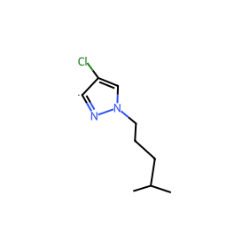 CC(C)CCCn1cc(Cl)[c]n1